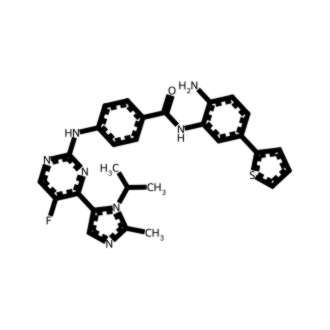 Cc1ncc(-c2nc(Nc3ccc(C(=O)Nc4cc(-c5cccs5)ccc4N)cc3)ncc2F)n1C(C)C